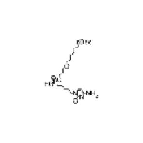 CCCCCCCCCCCCCCCCOCCCOP(=O)(O)CCC=CCn1ccc(N)nc1=O